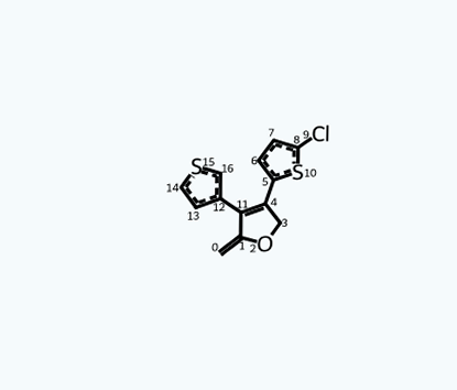 C=C1OCC(c2ccc(Cl)s2)=C1c1ccsc1